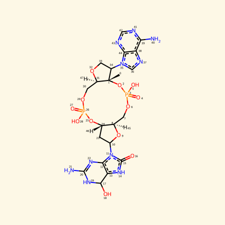 C[C@@]12OP(=O)(O)OC[C@H]3OC(n4c5c([nH]c4=O)C(O)NC(N)=N5)C[C@@H]3OP(=O)(O)OC[C@H]1OCC2n1cnc2c(N)ncnc21